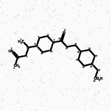 CC(=N)CC(C)N1CCN(C(=O)CCC2CCN(CC(=O)O)CC2)CC1